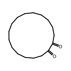 O=C1CCCCCCCCCCCCCCCC1=O